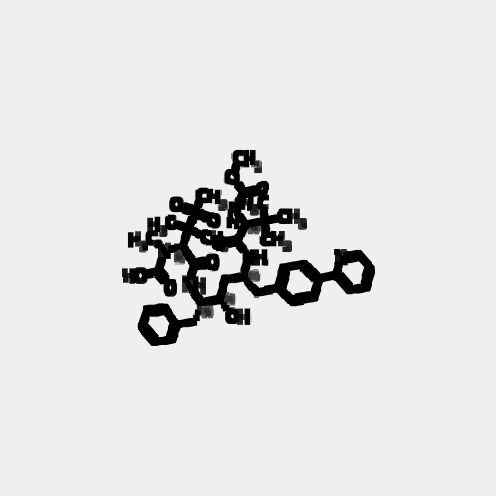 COC(=O)N[C@H](C(=O)N[C@@H](Cc1ccc(-c2ccccn2)cc1)C[C@H](O)[C@H](Cc1ccccc1)NC(=O)[C@@H](N(C)C(=O)O)C(C)(C)S(C)(=O)=O)C(C)(C)C